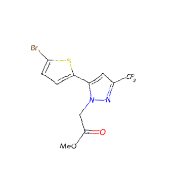 COC(=O)Cn1nc(C(F)(F)F)cc1-c1ccc(Br)s1